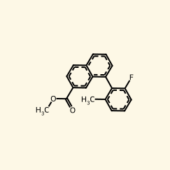 COC(=O)c1ccc2cccc(-c3c(C)cccc3F)c2c1